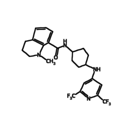 CN1CCCc2cccc(C(=O)NC3CCC(Nc4cc(C(F)(F)F)nc(C(F)(F)F)c4)CC3)c21